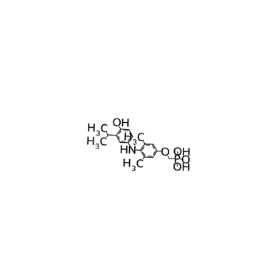 Cc1cc(OCP(=O)(O)O)cc(C)c1Nc1ccc(O)c(C(C)C)c1